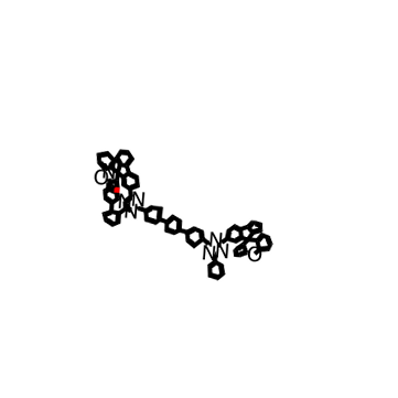 N#Cc1ccc(-c2ccccc2-c2nc(-c3ccc(-c4ccc(-c5ccc(-c6nc(-c7ccccc7)nc(-c7ccc8c(c7)C7(c9ccccc9Oc9ccccc97)c7ccccc7-8)n6)cc5)cc4)cc3)nc(-c3ccc4c(c3)C3(c5ccccc5Oc5ccccc53)c3ccccc3-4)n2)cc1